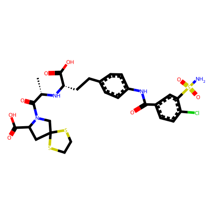 C[C@H](N[C@@H](CCc1ccc(NC(=O)c2ccc(Cl)c(S(N)(=O)=O)c2)cc1)C(=O)O)C(=O)N1CC2(CC1C(=O)O)SCCS2